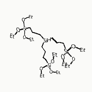 CCO[Si](CCC[SiH](CCC[Si](OCC)(OCC)OCC)CCC[Si](OCC)(OCC)OCC)(OCC)OCC